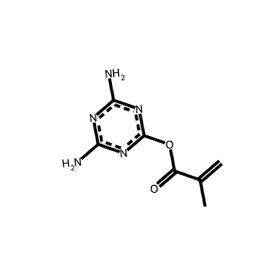 C=C(C)C(=O)Oc1nc(N)nc(N)n1